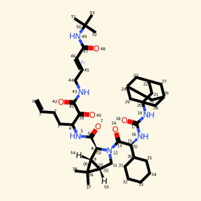 C=CCCC(NC(=O)[C@@H]1[C@@H]2[C@H](CN1C(=O)[C@@H](NC(=O)NC13CC4CC(CC(C4)C1)C3)C1CCCCC1)C2(C)C)C(=O)C(=O)NC/C=C/C(=O)NC(C)(C)C